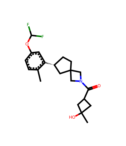 Cc1ccc(OC(F)F)cc1[C@@H]1CCC2(C1)CN(C(=O)C1CC(C)(O)C1)C2